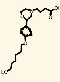 CCCCCCCOc1ccc(C2CN(CCCC(=O)O)CCO2)cc1